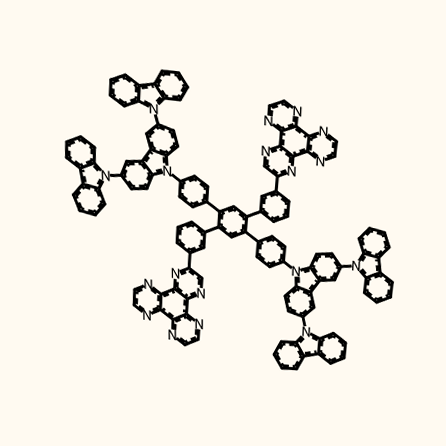 c1cc(-c2cnc3c4nccnc4c4nccnc4c3n2)cc(-c2cc(-c3ccc(-n4c5ccc(-n6c7ccccc7c7ccccc76)cc5c5cc(-n6c7ccccc7c7ccccc76)ccc54)cc3)c(-c3cccc(-c4cnc5c6nccnc6c6nccnc6c5n4)c3)cc2-c2ccc(-n3c4ccc(-n5c6ccccc6c6ccccc65)cc4c4cc(-n5c6ccccc6c6ccccc65)ccc43)cc2)c1